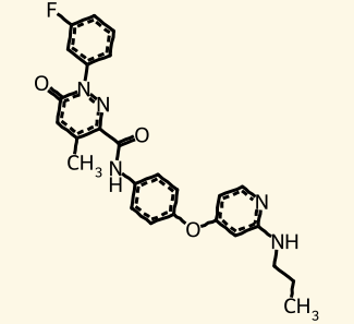 CCCNc1cc(Oc2ccc(NC(=O)c3nn(-c4cccc(F)c4)c(=O)cc3C)cc2)ccn1